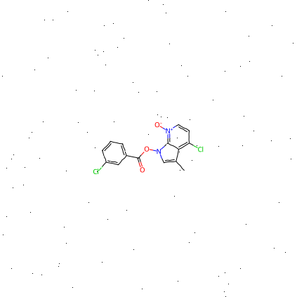 Cc1cn(OC(=O)c2cccc(Cl)c2)c2c1c(Cl)cc[n+]2[O-]